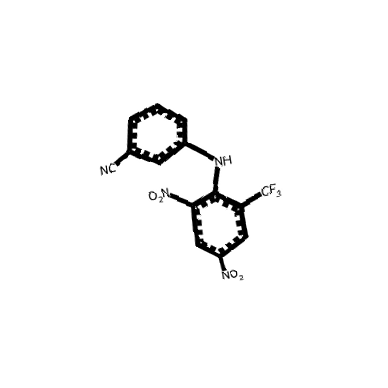 N#Cc1cccc(Nc2c([N+](=O)[O-])cc([N+](=O)[O-])cc2C(F)(F)F)c1